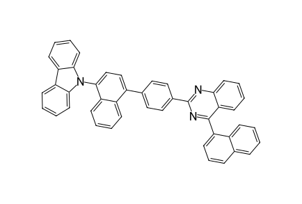 c1ccc2c(-c3nc(-c4ccc(-c5ccc(-n6c7ccccc7c7ccccc76)c6ccccc56)cc4)nc4ccccc34)cccc2c1